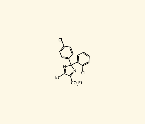 CCOC(=O)C1=NC(c2ccc(Cl)cc2)(c2ccccc2Cl)N=C1CC